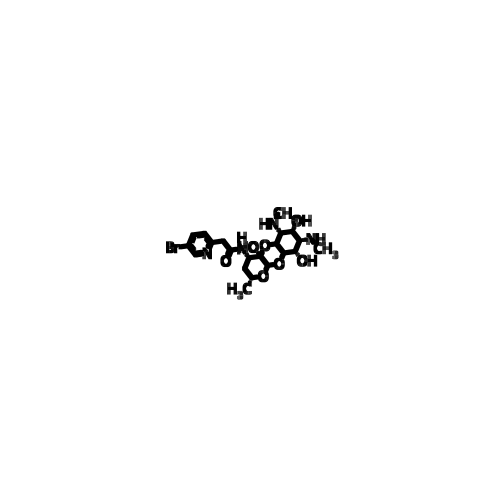 CN[C@@H]1[C@H](O)[C@H](NC)C2O[C@]3(O)C(OC2[C@H]1O)O[C@H](C)C[C@H]3NC(=O)Cc1ccc(Br)cn1